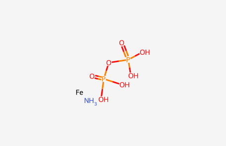 N.O=P(O)(O)OP(=O)(O)O.[Fe]